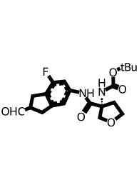 CC(C)(C)OC(=O)N[C@]1(C(=O)Nc2cc(F)c3c(c2)CC(C=O)C3)CCOC1